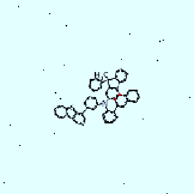 CC1(c2ccccc2)c2ccccc2-c2ccc(N(c3cccc(-c4cccc5c4sc4ccccc45)c3)c3ccccc3-c3ccc4ccccc4c3)cc21